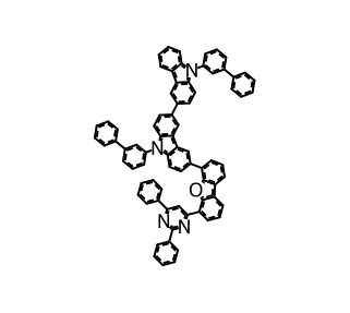 c1ccc(-c2cccc(-n3c4ccccc4c4cc(-c5ccc6c(c5)c5cc(-c7cccc8c7oc7c(-c9cc(-c%10ccccc%10)nc(-c%10ccccc%10)n9)cccc78)ccc5n6-c5cccc(-c6ccccc6)c5)ccc43)c2)cc1